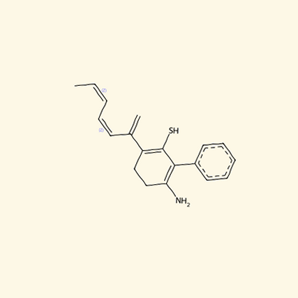 C=C(/C=C\C=C/C)C1=C(S)C(c2ccccc2)=C(N)CC1